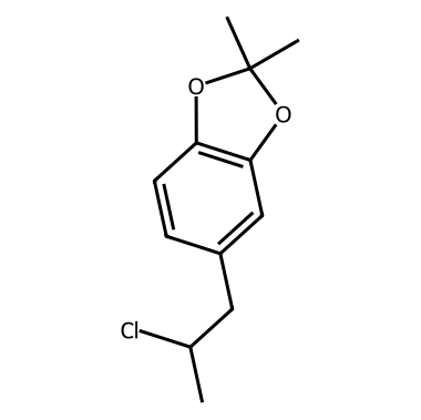 CC(Cl)Cc1ccc2c(c1)OC(C)(C)O2